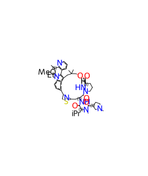 CCn1c(-c2cccnc2[C@H](C)OC)c2c3cc(ccc31)C1CSC(=N1)C[C@H](NC(=O)[C@H](C(C)C)N(C)C(=O)[C@H]1CCN(C)C1)C(=O)N1CCC[C@H](N1)C(=O)OCC(C)(C)C2